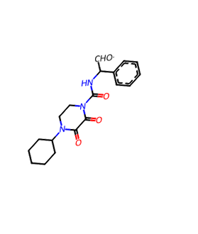 O=[C]C(NC(=O)N1CCN(C2CCCCC2)C(=O)C1=O)c1ccccc1